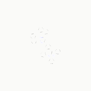 c1ccc(-n2c3ccccc3n3c4ccccc4c(-c4ccc(-c5cc(-c6cccc7ccccc67)nc(-c6cccc7ccccc67)n5)cc4)c23)cc1